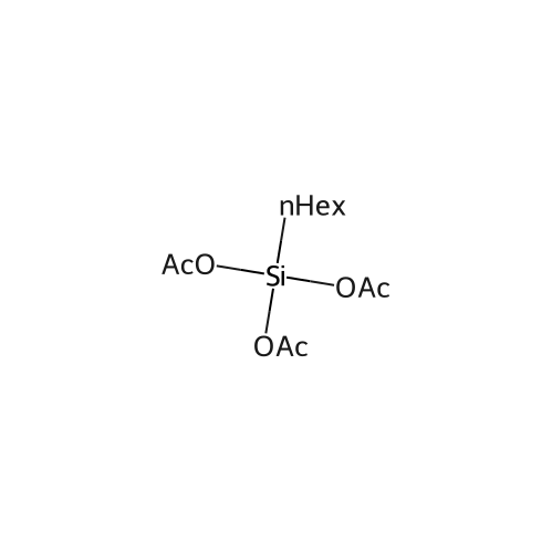 CCCCCC[Si](OC(C)=O)(OC(C)=O)OC(C)=O